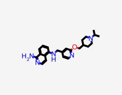 CC(C)N1CCC(COc2cc(CNc3cccc4c(N)nccc34)ccn2)CC1